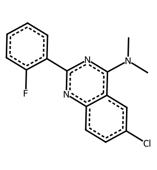 CN(C)c1nc(-c2ccccc2F)nc2ccc(Cl)cc12